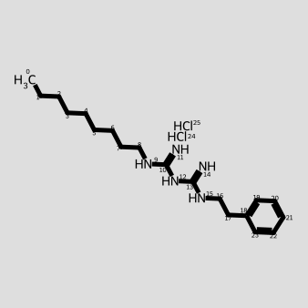 CCCCCCCCCNC(=N)NC(=N)NCCc1ccccc1.Cl.Cl